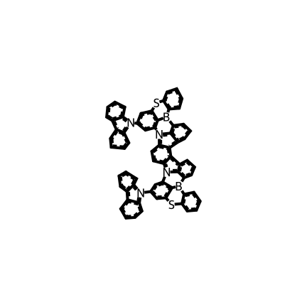 c1ccc2c(c1)Sc1cc(-n3c4ccccc4c4ccccc43)cc3c1B2c1cccc2c4c5c6cccc7c6n(c5ccc4n-3c12)-c1cc(-n2c3ccccc3c3ccccc32)cc2c1B7c1ccccc1S2